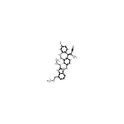 COCc1cccc2c1nc(COC)n2Cc1ccc2c(c1)COc1cc(F)ccc1/C2=C(/C)C#N